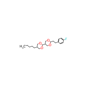 CCCCCC1COC(C2COC(CCc3ccc(F)cc3)OC2)OC1